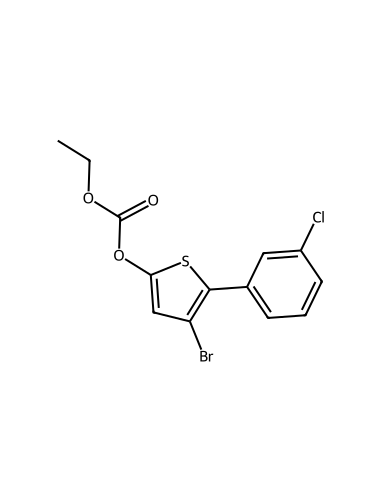 CCOC(=O)Oc1cc(Br)c(-c2cccc(Cl)c2)s1